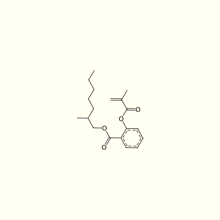 C=C(C)C(=O)Oc1ccccc1C(=O)OCC(C)CCCCC